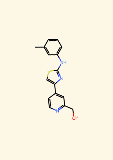 Cc1cccc(Nc2nc(-c3ccnc(CO)c3)cs2)c1